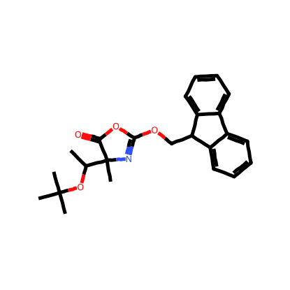 CC(OC(C)(C)C)C1(C)N=C(OCC2c3ccccc3-c3ccccc32)OC1=O